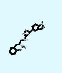 N[C@@H](CNc1nnc(-c2ccc3[nH]ncc3c2)s1)Cc1ccccc1Br